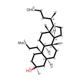 COCC[C@]12CC[C@](C)(O)C[C@@H]1CC[C@H]1[C@@H]3CC[C@H]([C@H](C)CCC=O)[C@@]3(C)CC[C@@H]12